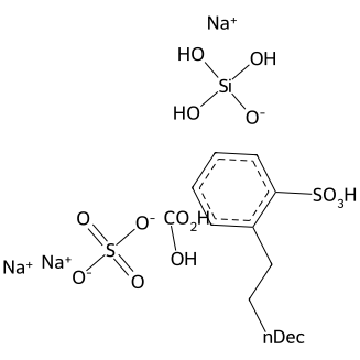 CCCCCCCCCCCCc1ccccc1S(=O)(=O)O.O=C(O)O.O=S(=O)([O-])[O-].[Na+].[Na+].[Na+].[O-][Si](O)(O)O